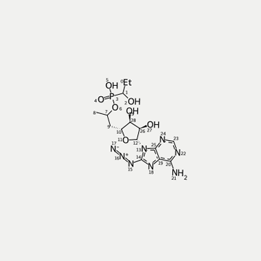 CCC(O)P(=O)(O)OC(C)C[C@H]1O[C@@H](n2c(N=[N+]=[N-])nc3c(N)ncnc32)[C@H](O)[C@@H]1O